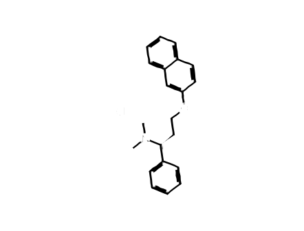 CN(C)[C@@H](CCOc1ccc2ccccc2c1)c1ccccc1.Cl